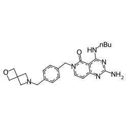 CCCCNc1nc(N)nc2ccn(Cc3ccc(CN4CC5(COC5)C4)cc3)c(=O)c12